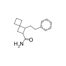 NC(=O)C1CC2(CCC2)C1CCc1ccccc1